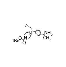 C[C@H](N)c1ccc([C@@H](CC2CC2)N2CCN(C(=O)OC(C)(C)C)CC2)cc1